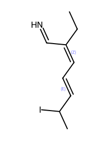 CC/C(C=N)=C/C=C/C(C)I